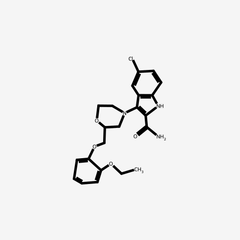 CCOc1ccccc1OCC1CN(c2c(C(N)=O)[nH]c3ccc(Cl)cc23)CCO1